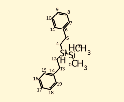 C[SiH](C)[SiH](CCc1ccccc1)CCc1ccccc1